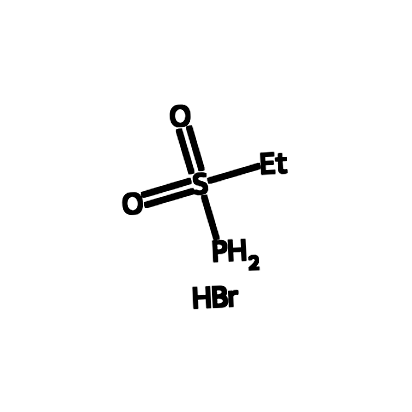 Br.CCS(=O)(=O)P